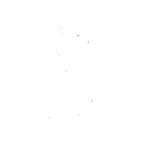 CC(C)C[C@H]1CN(c2cccc(C(=O)c3cc(Br)cnc3N)n2)CCN1